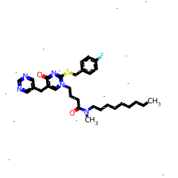 CCCCCCCCCN(C)C(=O)CCCn1cc(Cc2cncnc2)c(=O)nc1SCc1ccc(F)cc1